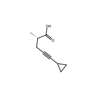 C[C@@H](CC#CC1CC1)C(=O)O